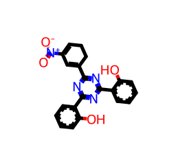 O=[N+]([O-])C1=CCCC(c2nc(-c3ccccc3O)nc(-c3ccccc3O)n2)=C1